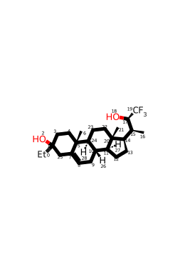 CCC1(O)CC[C@@]2(C)C(=CC[C@H]3[C@@H]4CC[C@H]([C@H](C)[C@@H](O)C(F)(F)F)[C@@]4(C)CC[C@@H]32)C1